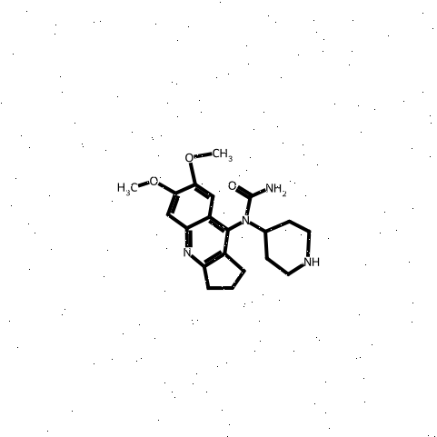 COc1cc2nc3c(c(N(C(N)=O)C4CCNCC4)c2cc1OC)CCC3